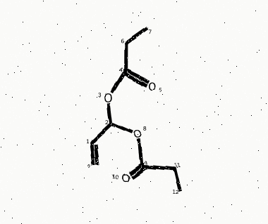 C=CC(OC(=O)CC)OC(=O)CC